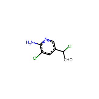 Nc1ncc(C(Cl)C=O)cc1Cl